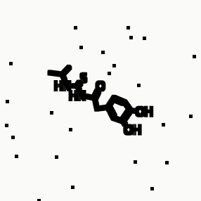 CC(C)NC(=S)NC(=O)Cc1ccc(O)c(O)c1